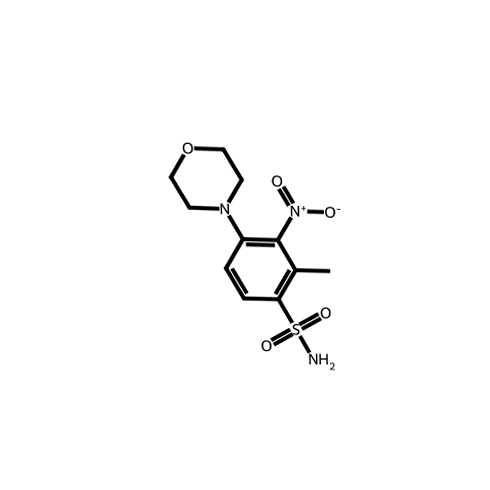 Cc1c(S(N)(=O)=O)ccc(N2CCOCC2)c1[N+](=O)[O-]